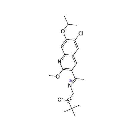 COc1nc2cc(OC(C)C)c(Cl)cc2cc1/C(C)=N/C[S+]([O-])C(C)(C)C